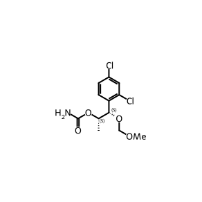 COCO[C@@H](c1ccc(Cl)cc1Cl)[C@H](C)OC(N)=O